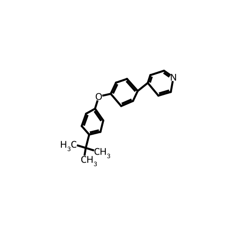 CC(C)(C)c1ccc(Oc2ccc(-c3ccncc3)cc2)cc1